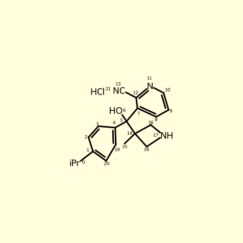 CC(C)c1ccc(C(O)(c2cccnc2C#N)C2(C)CNC2)cc1.Cl